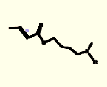 C/C=C/C(=O)OCCCCN(C)CC